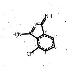 N=C1N=C(N)c2c(Cl)cccc21